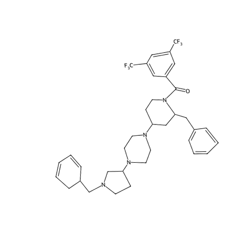 O=C(c1cc(C(F)(F)F)cc(C(F)(F)F)c1)N1CCC(N2CCN(C3CCN(CC4C=CC=CC4)C3)CC2)CC1Cc1ccccc1